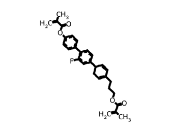 C=C(C)C(=O)OCCCC1=CCC(c2ccc(-c3ccc(OC(=O)C(=C)C)cc3)c(F)c2)C=C1